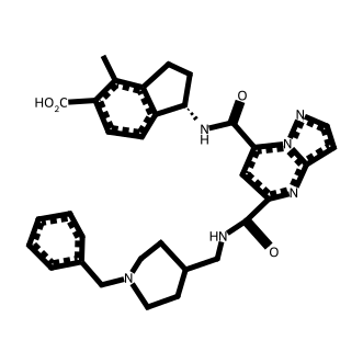 Cc1c(C(=O)O)ccc2c1CC[C@@H]2NC(=O)c1cc(C(=O)NCC2CCN(Cc3ccccc3)CC2)nc2ccnn12